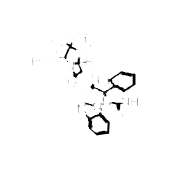 CC1(C)S[C@@H]2[C@H](NC(=O)C(C3=CCC=CC3)N(C(N)=O)n3cnc4ccccc43)C(=O)N2[C@H]1C(=O)O